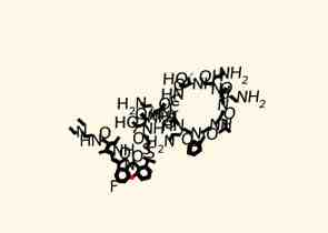 CCN(CC)CCNC(=O)c1c(C)[nH]c(/C=C2\C(=O)N(C(=O)c3c(C)cccc3C(C)(C)SSCC(=O)N[C@H](C(=O)N[C@H](CCN)C(=O)N[C@H]3CCNC(=O)[C@@H]([C@@H](C)O)NC(=O)[C@@H](CCN)NC(=O)[C@@H](CCN)NC(=O)[C@@H](CC(C)C)NC(=O)[C@@H](Cc4ccccc4)NC(=O)[C@@H](CCN)NC3=O)[C@@H](C)O)c3ccc(F)cc32)c1C